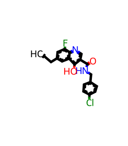 C#CCc1cc(F)c2ncc(C(=O)NCc3ccc(Cl)cc3)c(O)c2c1